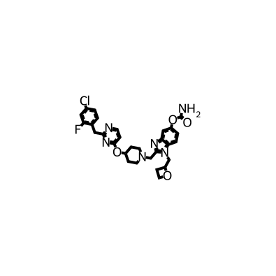 NC(=O)Oc1ccc2c(c1)nc(CN1CCC(Oc3ccnc(Cc4ccc(Cl)cc4F)n3)CC1)n2CC1CCO1